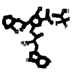 NC(Cc1c[nH]c2ccccc12)C(=O)Oc1cc([N+](=O)[O-])c(Cl)cc1C(=O)Nc1ccccc1Cl.O=C(O)C(F)(F)F